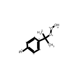 CC(C)c1ccc(C(C)(C)OOO)cc1